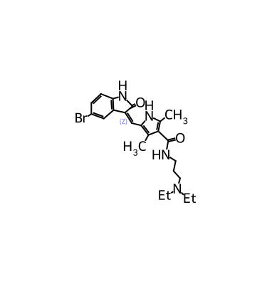 CCN(CC)CCCNC(=O)c1c(C)[nH]c(/C=C2\C(=O)Nc3ccc(Br)cc32)c1C